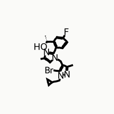 Cc1cn(Cc2c(C)nn(CC3CC3)c2Br)c(-c2ccc(F)cc2[C@@H](C)O)n1